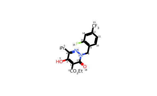 CCOC(=O)c1c(O)c(C(C)C)nn(Cc2ccc(C(F)(F)F)cc2F)c1=O